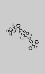 CC/C(=C(\c1ccccc1)c1ccc(OCCN(C)C(=O)C(C)OCCNc2cccc3c2C(=O)N(C2CCC(=O)NC2=O)C3=O)cc1)c1ccccc1